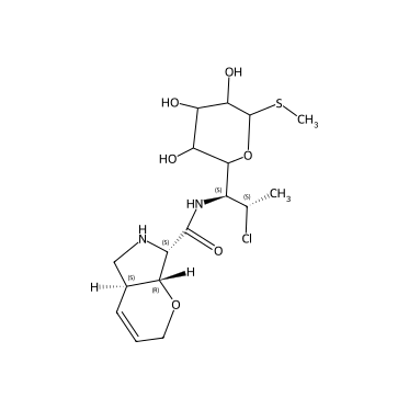 CSC1OC([C@H](NC(=O)[C@H]2NC[C@@H]3C=CCO[C@@H]23)[C@H](C)Cl)C(O)C(O)C1O